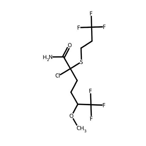 COC(CCC(Cl)(SCCC(F)(F)F)C(N)=O)C(F)(F)F